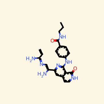 C=C/C(N)=N\C=C(/N)c1cc2cc[nH]c(=O)c2c(Nc2ccc(C(=O)NCCC)cc2)n1